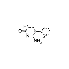 Nc1nc(=O)[nH]cc1-c1cncs1